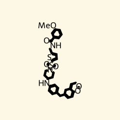 COc1cccc(C(=O)NCc2ccc(S(=O)(=O)N3CCC(Nc4ccc(CC5=CC=C6OOCC=C6C5)cc4)CC3)s2)c1